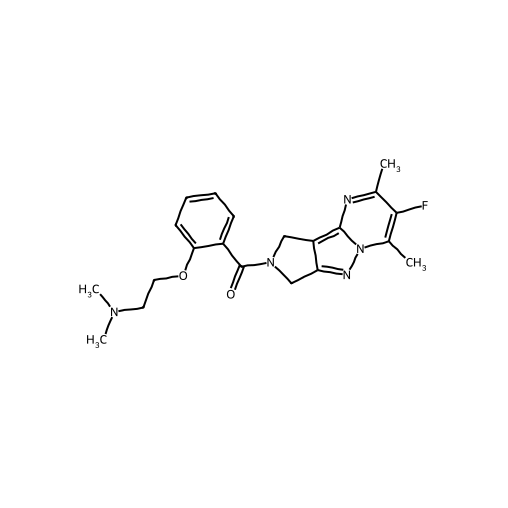 Cc1nc2c3c(nn2c(C)c1F)CN(C(=O)c1ccccc1OCCN(C)C)C3